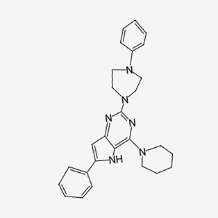 c1ccc(-c2cc3nc(N4CCN(c5ccccc5)CC4)nc(N4CCCCC4)c3[nH]2)cc1